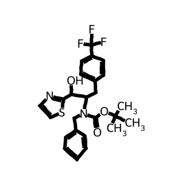 CC(C)(C)OC(=O)N(Cc1ccccc1)C(Cc1ccc(C(F)(F)F)cc1)C(O)c1nccs1